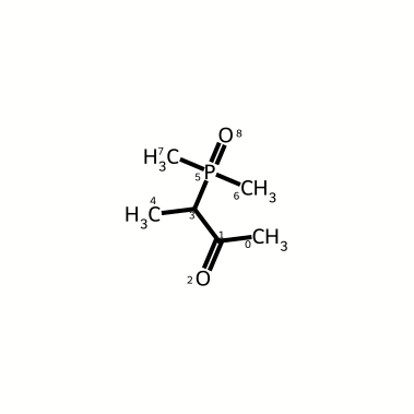 CC(=O)C(C)P(C)(C)=O